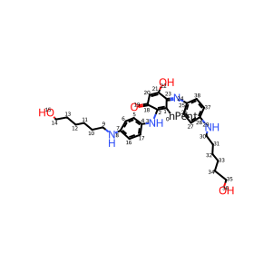 CCCCCC1=C(Nc2ccc(NCCCCCCO)cc2)C(=O)C=C(O)C1=Nc1ccc(NCCCCCCO)cc1